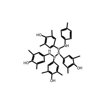 Cc1ccc(NN(c2cc(C)c(O)c(C)c2)N(c2cc(C)c(O)c(C)c2)N(Nc2cc(C)c(O)c(C)c2)c2cc(C)c(O)c(C)c2)cc1